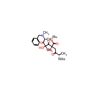 CN[C@@H](C)C(=O)CC(O)(C(=O)OC(C)(C)C)C(=O)C(C)(O)C(=O)[C@H](C)N(C)Cc1ccccc1